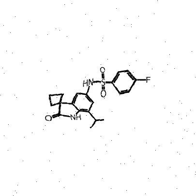 CC(C)c1cc(NS(=O)(=O)c2ccc(F)cc2)cc2c1NC(=O)C21CCC1